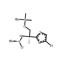 CCc1csc([C@](C)(CO[Si](C)(C)C(C)(C)C)N[S@@+]([O-])C(C)(C)C)n1